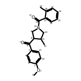 COc1ccc(C(=O)C2CN(C(=O)c3ccccc3C)CC2C)cc1